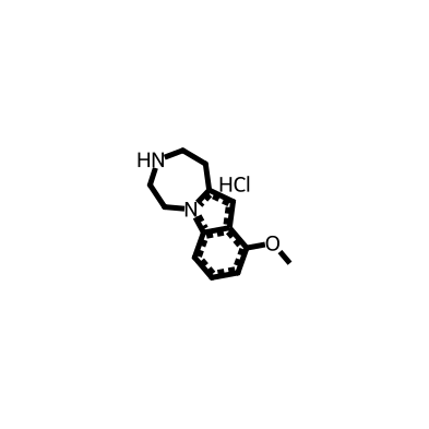 COc1cccc2c1cc1n2CCNCC1.Cl